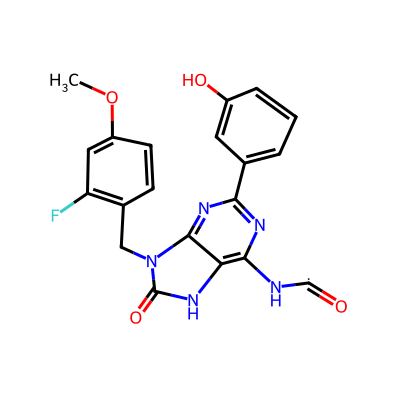 COc1ccc(Cn2c(=O)[nH]c3c(N[C]=O)nc(-c4cccc(O)c4)nc32)c(F)c1